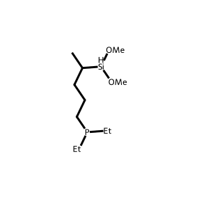 CCP(CC)CCCC(C)[SiH](OC)OC